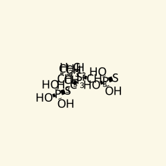 CC.CC.C[SiH](C)C.OP(O)(O)=S.OP(O)(O)=S